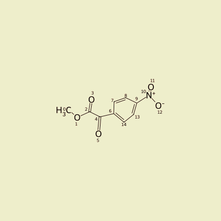 COC(=O)C(=O)c1ccc([N+](=O)[O-])cc1